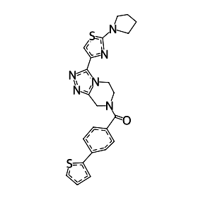 O=C(c1ccc(-c2cccs2)cc1)N1CCn2c(nnc2-c2csc(N3CCCC3)n2)C1